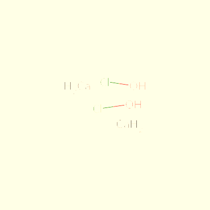 OCl.OCl.[CaH2].[CaH2]